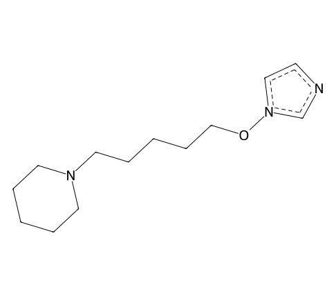 c1cn(OCCCCCN2CCCCC2)cn1